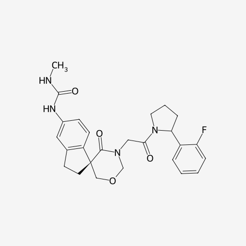 CNC(=O)Nc1ccc2c(c1)CC[C@@]21COCN(CC(=O)N2CCCC2c2ccccc2F)C1=O